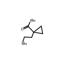 CC(C)(C)CCC1(C(=O)C(C)(C)C)CC1